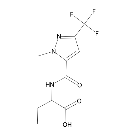 CCC(NC(=O)c1cc(C(F)(F)F)nn1C)C(=O)O